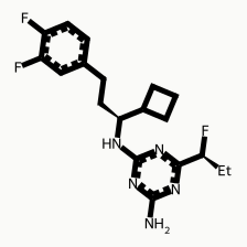 CC[C@H](F)c1nc(N)nc(N[C@@H](CCc2ccc(F)c(F)c2)C2CCC2)n1